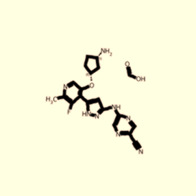 Cc1ncc(O[C@@H]2CC[C@H](N)C2)c(-c2cc(Nc3cnc(C#N)cn3)n[nH]2)c1F.O=CO